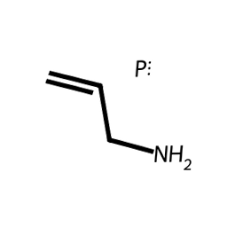 C=CCN.[P]